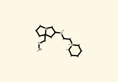 CC(C)OCC12CCCN1CC(OCCN1CCCCC1)C2